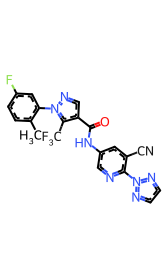 Cc1ccc(F)cc1-n1ncc(C(=O)Nc2cnc(-n3nccn3)c(C#N)c2)c1C(F)(F)F